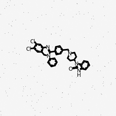 O=c1[nH]c2ccccc2n1C1CCN(Cc2ccc(C3=Nc4cc(Cl)c(Cl)cc4CN3c3ccccc3)cc2)CC1